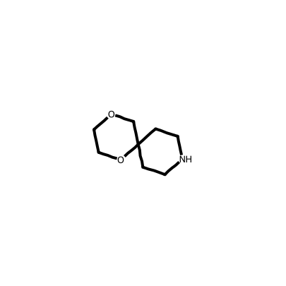 C1CC2(CCN1)COCCO2